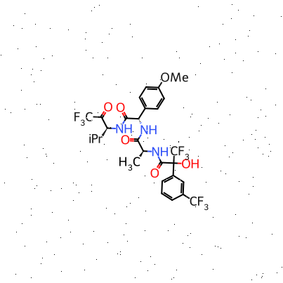 COc1ccc([C@H](NC(=O)[C@H](C)NC(=O)C(O)(c2cccc(C(F)(F)F)c2)C(F)(F)F)C(=O)N[C@H](C(=O)C(F)(F)F)C(C)C)cc1